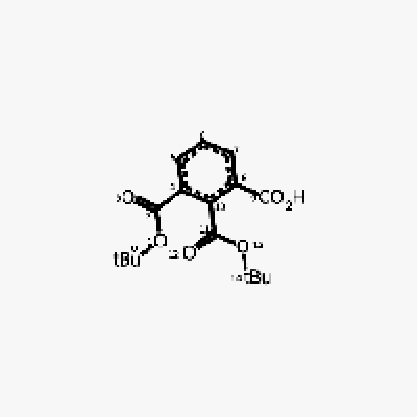 CC(C)(C)OC(=O)c1cccc(C(=O)O)c1C(=O)OC(C)(C)C